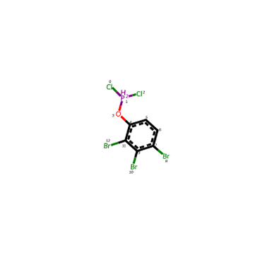 Cl[PH2](Cl)Oc1ccc(Br)c(Br)c1Br